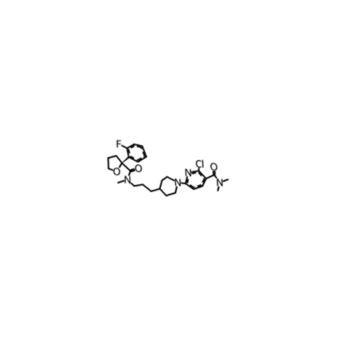 CN(C)C(=O)c1ccc(N2CCC(CCCN(C)C(=O)[C@@]3(c4ccccc4F)CCCO3)CC2)nc1Cl